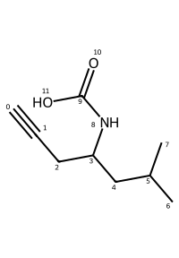 C#CCC(CC(C)C)NC(=O)O